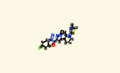 Cn1nc(C(=O)Nc2ccc(F)cc2F)cc1C1=CCCN(c2nccs2)C1